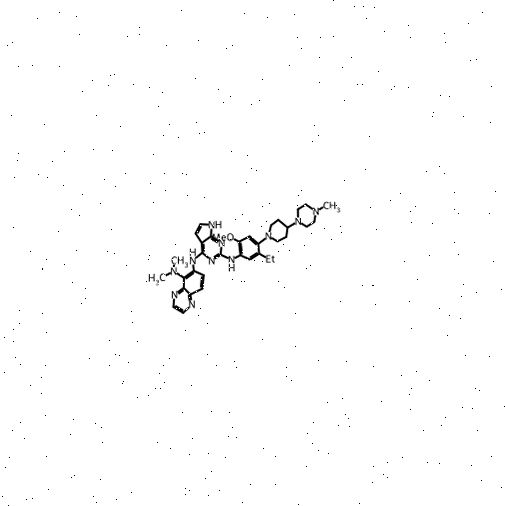 CCc1cc(Nc2nc(Nc3ccc4nccnc4c3N(C)C)c3cc[nH]c3n2)c(OC)cc1N1CCC(N2CCN(C)CC2)CC1